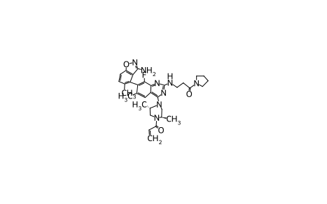 C=CC(=O)N1C[C@H](C)N(c2nc(NCCC(=O)N3CCCC3)nc3c(F)c(-c4c(C)ccc5onc(N)c45)c(C)cc23)C[C@H]1C